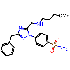 COCCCNCc1nc(Cc2ccccc2)nn1-c1ccc(S(N)(=O)=O)cc1